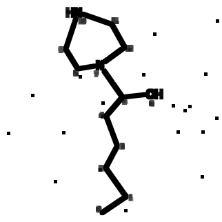 CCCCCC(O)N1CCNCC1